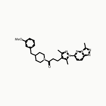 COc1cccc(CC2CCN(C(=O)CCc3c(C)nn(-c4ccc5nnc(C)n5n4)c3C)CC2)c1